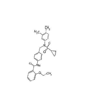 CCOc1ccccc1C(=O)Nc1ccc(CN(c2ccc(C)c(C)c2)S(=O)(=O)C2CC2)cc1